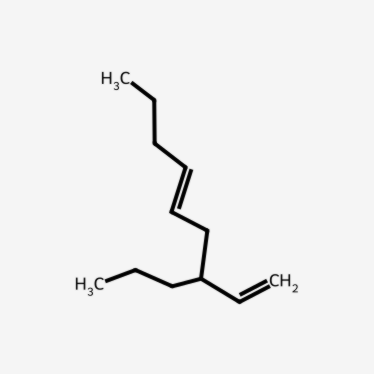 C=CC(CC=CCCC)CCC